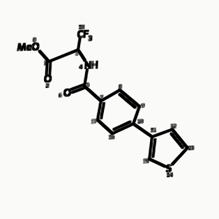 COC(=O)C(NC(=O)c1ccc(-c2ccsc2)cc1)C(F)(F)F